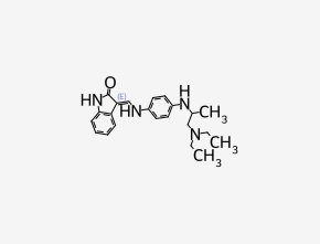 CCN(CC)CC(C)Nc1ccc(N/C=C2/C(=O)Nc3ccccc32)cc1